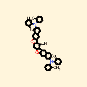 Cc1ccccc1N(c1ccc2cc3c(cc2c1)oc1cc2oc4cc5cc(N(c6ccccc6C)c6ccccc6C(C)(C)C)ccc5cc4c2c(C#N)c13)c1ccccc1C(C)(C)C